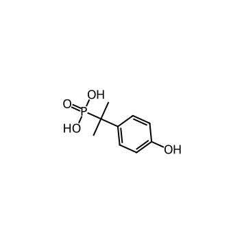 CC(C)(c1ccc(O)cc1)P(=O)(O)O